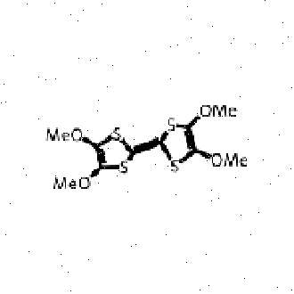 COC1=C(OC)SC(=C2SC(OC)=C(OC)S2)S1